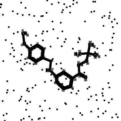 COc1ccc(CNc2cccc(C(=O)OOC(C)(C)C)c2)cc1